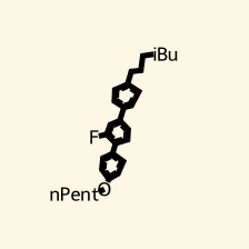 CCCCCOc1ccc(-c2ccc(-c3ccc(CCCC(C)CC)cc3)cc2F)cc1